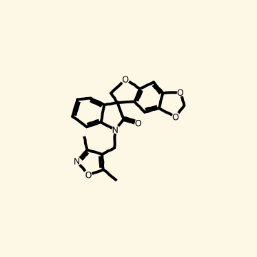 Cc1noc(C)c1CN1C(=O)C2(COc3cc4c(cc32)OCO4)c2ccccc21